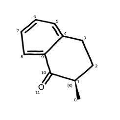 C[C@@H]1CCc2ccccc2C1=O